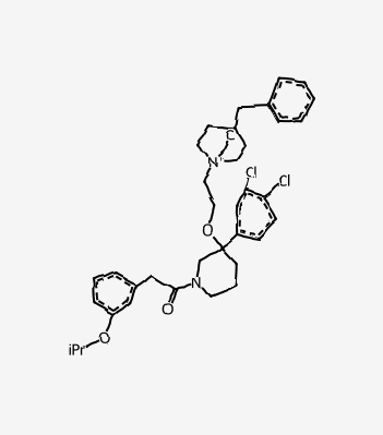 CC(C)Oc1cccc(CC(=O)N2CCCC(OCC[N+]34CCC(Cc5ccccc5)(CC3)CC4)(c3ccc(Cl)c(Cl)c3)C2)c1